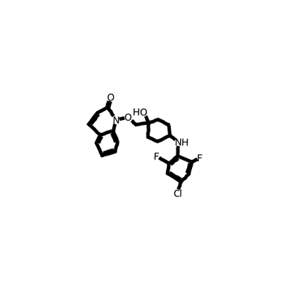 O=c1ccc2ccccc2n1OCC1(O)CCC(Nc2c(F)cc(Cl)cc2F)CC1